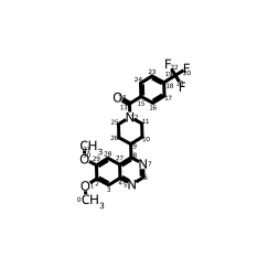 COc1cc2ncnc(C3CCN(C(=O)c4ccc(C(F)(F)F)cc4)CC3)c2cc1OC